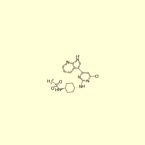 CS(=O)(=O)N[C@H]1CC[C@H](Nc2nc(Cl)cc(-c3c[nH]c4ncccc34)n2)CC1